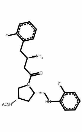 CC(=O)N[C@H]1C[C@@H](CNc2ccccc2F)N(C(=O)C[C@H](N)Cc2ccccc2F)C1